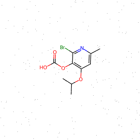 Cc1cc(OC(C)C)c(OC(=O)O)c(Br)n1